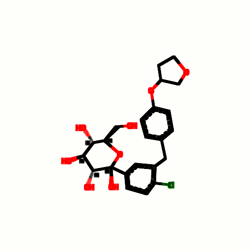 OC[C@H]1O[C@](O)(c2ccc(Cl)c(Cc3ccc(OC4CCOC4)cc3)c2)[C@H](O)[C@@H](O)[C@@H]1O